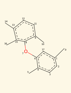 Cc1ccc(C)c(Oc2c(C)ccc(C)c2C)c1